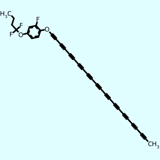 CC#CC#CC#CC#CC#CC#CC#CC#CC#CC#CC#COc1ccc(OC(F)(F)CCC)cc1F